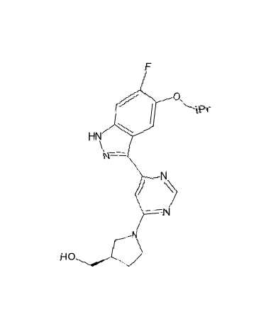 CC(C)Oc1cc2c(-c3cc(N4CC[C@@H](CO)C4)ncn3)n[nH]c2cc1F